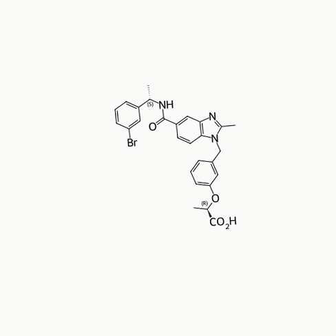 Cc1nc2cc(C(=O)N[C@@H](C)c3cccc(Br)c3)ccc2n1Cc1cccc(O[C@H](C)C(=O)O)c1